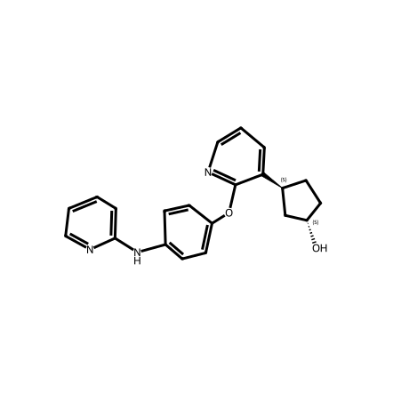 O[C@H]1CC[C@H](c2cccnc2Oc2ccc(Nc3ccccn3)cc2)C1